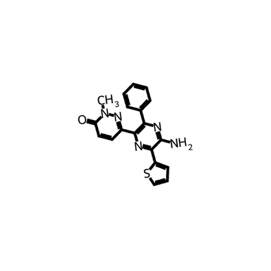 Cn1nc(-c2nc(-c3cccs3)c(N)nc2-c2ccccc2)ccc1=O